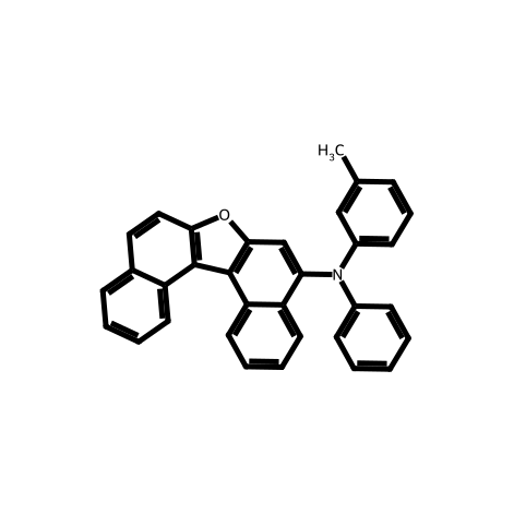 Cc1cccc(N(c2ccccc2)c2cc3oc4ccc5ccccc5c4c3c3ccccc23)c1